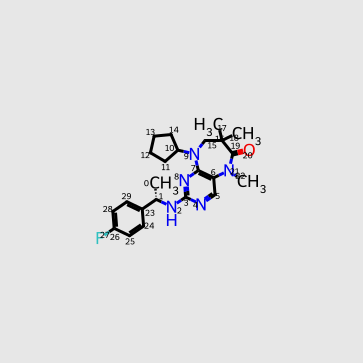 C[C@H](Nc1ncc2c(n1)N(C1CCCC1)CC(C)(C)C(=O)N2C)c1ccc(F)cc1